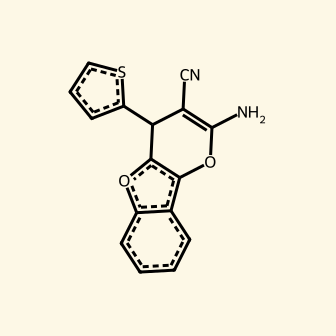 N#CC1=C(N)Oc2c(oc3ccccc23)C1c1cccs1